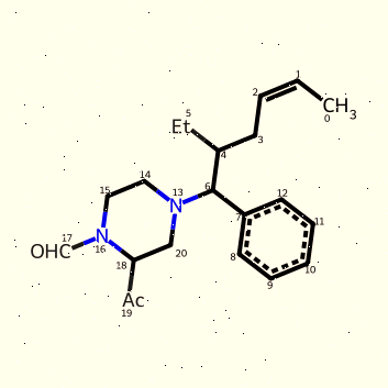 C/C=C\CC(CC)C(c1ccccc1)N1CCN(C=O)C(C(C)=O)C1